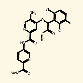 CNC(=O)c1ccc(NC(=O)c2cc(OC(C(=O)OC(C)(C)C)c3c(Cl)ccc(F)c3Cl)c(N)nn2)cn1